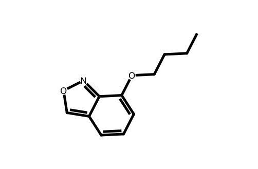 CCCCOc1cccc2conc12